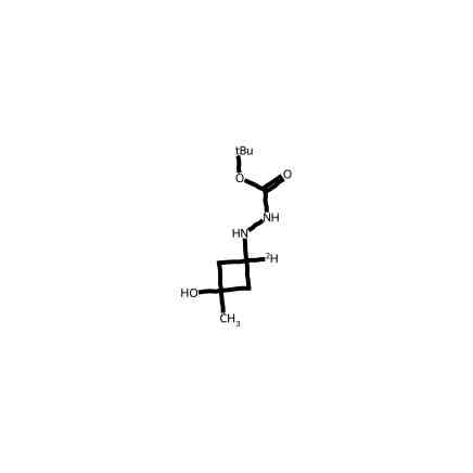 [2H]C1(NNC(=O)OC(C)(C)C)CC(C)(O)C1